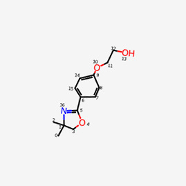 CC1(C)COC(c2ccc(OCCO)cc2)=N1